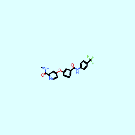 CNC(=O)c1cc(Oc2cccc(C(=O)Nc3ccc(C(F)(F)F)cc3)c2)ccn1